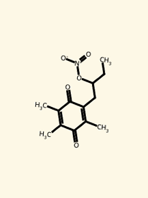 CCC(CC1=C(C)C(=O)C(C)=C(C)C1=O)O[N+](=O)[O-]